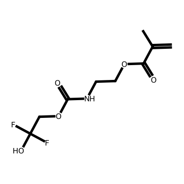 C=C(C)C(=O)OCCNC(=O)OCC(O)(F)F